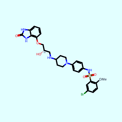 COc1ccc(Br)cc1S(=O)(=O)Nc1ccc(N2CCC(NC[C@H](O)COc3cccc4[nH]c(=O)[nH]c34)CC2)cc1